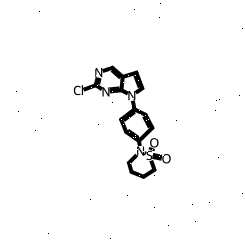 O=S1(=O)CCCCN1c1ccc(-n2ccc3cnc(Cl)nc32)cc1